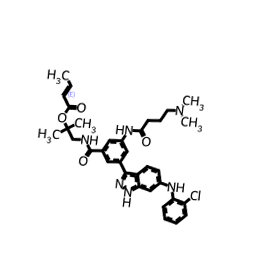 C/C=C/C(=O)OC(C)(C)CNC(=O)c1cc(NC(=O)CCCN(C)C)cc(-c2n[nH]c3cc(Nc4ccccc4Cl)ccc23)c1